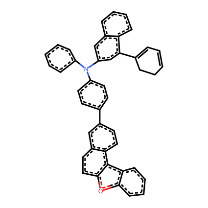 C1=CCCC(c2cc(N(c3ccccc3)c3ccc(-c4ccc5c(ccc6oc7ccccc7c65)c4)cc3)cc3ccccc23)=C1